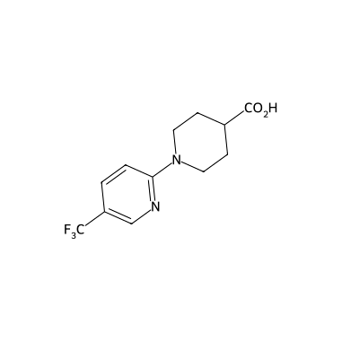 O=C(O)C1CCN(c2ccc(C(F)(F)F)cn2)CC1